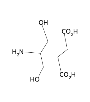 NC(CO)CO.O=C(O)CCC(=O)O